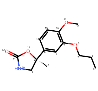 CCCOc1cc([C@@]2(C)CNC(=O)O2)ccc1OC